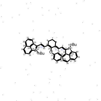 CCCCn1/c(=C/C=C2\CCCC(/C=C/C3=[N+](CCCC)c4cccc5cccc3c45)=C2Oc2ccccc2)c2cccc3cccc1c32